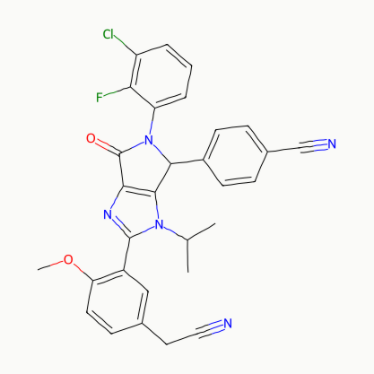 COc1ccc(CC#N)cc1-c1nc2c(n1C(C)C)C(c1ccc(C#N)cc1)N(c1cccc(Cl)c1F)C2=O